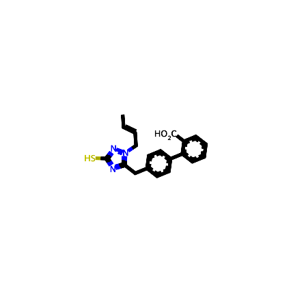 C/C=C/Cn1nc(S)nc1Cc1ccc(-c2ccccc2C(=O)O)cc1